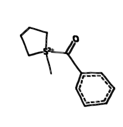 C[S+2]1(C(=O)c2ccccc2)CCCC1